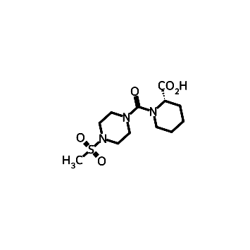 CS(=O)(=O)N1CCN(C(=O)N2CCCC[C@H]2C(=O)O)CC1